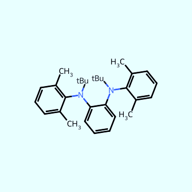 Cc1cccc(C)c1N(c1ccccc1N(c1c(C)cccc1C)C(C)(C)C)C(C)(C)C